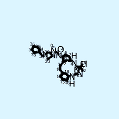 CN(C(=O)Nc1ccc2cc1CCc1cccc(c1)Nc1ncc(Cl)c(n1)N2)C1CCN(Cc2ccccc2)C1